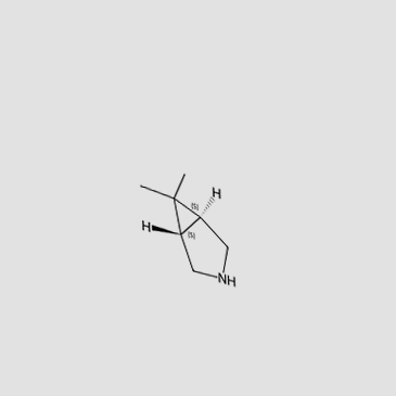 CC1(C)[C@H]2CNC[C@@H]21